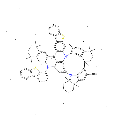 Cc1cc2c3cc1N1c4cc5sc6ccccc6c5cc4B4c5cc6c(cc5N(c5cccc7c5sc5ccccc57)c5cc(cc1c54)N1c4cc(c(C(C)(C)C)cc4C4(C)CCCCC14C)C3(C)CCC2(C)C)C(C)(C)CCC6(C)C